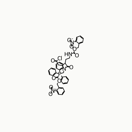 O=C(Cl)CC1C(CCNC(=O)OCc2ccccc2[N+](=O)[O-])C(=O)N1CP(C(=O)OCc1ccccc1[N+](=O)[O-])(c1ccccc1)(c1ccccc1)c1ccccc1